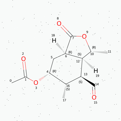 CC(=O)O[C@@H]1C[C@H]2C(=O)O[C@H](C)[C@H]2[C@@H](C=O)[C@@H]1C